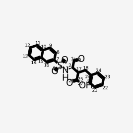 O=[C][C@@H](NS(=O)(=O)c1ccc2ccccc2c1)C(Cc1ccccc1)C(=O)O